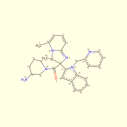 CC1=CC=CC2=NC(C(=O)N3CCCC(N)C3)(c3cc4ccccc4n3Cc3ccccn3)C(C)N12